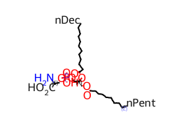 CCCCC/C=C\CCCCCCCC(=O)OC[C@H](COP(=O)(O)OC[C@H](N)C(=O)O)OC(=O)CCCCCCCCCCCCCCCCCCCCC